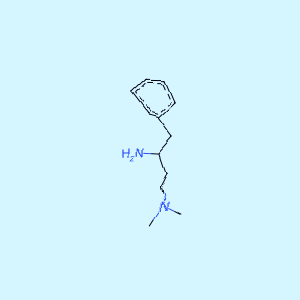 CN(C)CCC(N)Cc1ccccc1